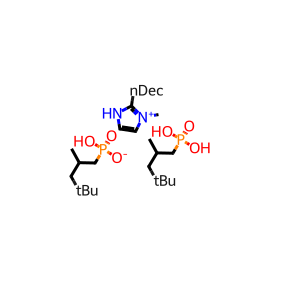 CC(CC(C)(C)C)CP(=O)(O)O.CC(CC(C)(C)C)CP(=O)([O-])O.CCCCCCCCCCc1[nH]cc[n+]1C